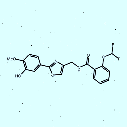 COc1ccc(-c2nc(CNC(=O)c3ccccc3OC(F)F)co2)cc1O